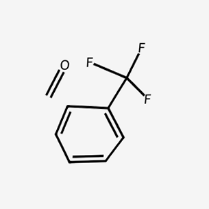 C=O.FC(F)(F)c1ccccc1